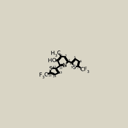 Cc1cc(-c2ccc(C(F)(F)F)s2)nc(-c2ccc(C(F)(F)F)s2)c1O